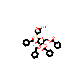 O=C(OCC1OC(SC2COC(O)C2)C(OC(=O)c2ccccc2)C(OC(=O)c2ccccc2)C1OC(=O)c1ccccc1)c1ccccc1